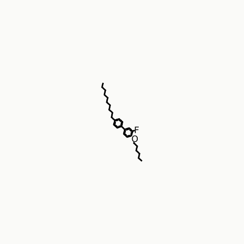 CCCCCCCCCCc1ccc(-c2ccc(OCCCCCC)c(F)c2)cc1